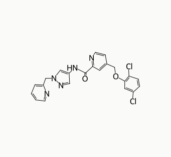 O=C(Nc1cnn(Cc2ccccn2)c1)c1cc(COc2cc(Cl)ccc2Cl)ccn1